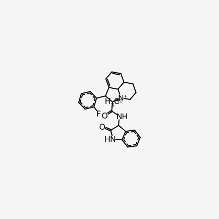 C[N@@+]12CCCC3C=CC=C(C(c4ccccc4F)C1C(=O)NC1C(=O)Nc4ccccc41)C32